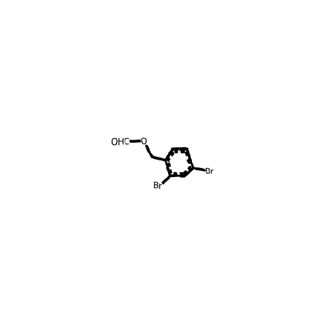 O=COCc1ccc(Br)cc1Br